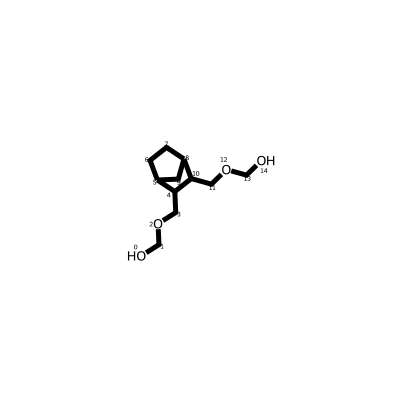 OCOCC1C2CCC(C2)C1COCO